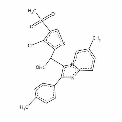 Cc1ccc(-c2nc3ccc(C)cn3c2C(C=O)c2scc(S(C)(=O)=O)c2Cl)cc1